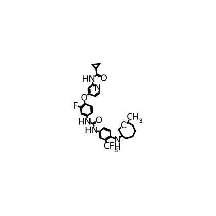 CC1CCCCC(Nc2ccc(NC(=O)Nc3ccc(Oc4ccnc(NC(=O)C5CC5)c4)c(F)c3)cc2C(F)(F)F)CC1